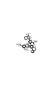 Cc1cc(CN)cc(C)c1NC(=O)c1cc2c(cc1-c1ccc(C(=O)N3CCCC[C@@H]3C(F)(F)F)nc1C(=O)O)OCCc1ccsc1-2